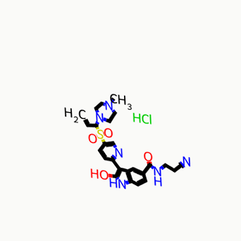 C=CC(N1CCN(C)CC1)S(=O)(=O)c1ccc(-c2c(O)[nH]c3ccc(C(=O)NCCC#N)cc23)nc1.Cl